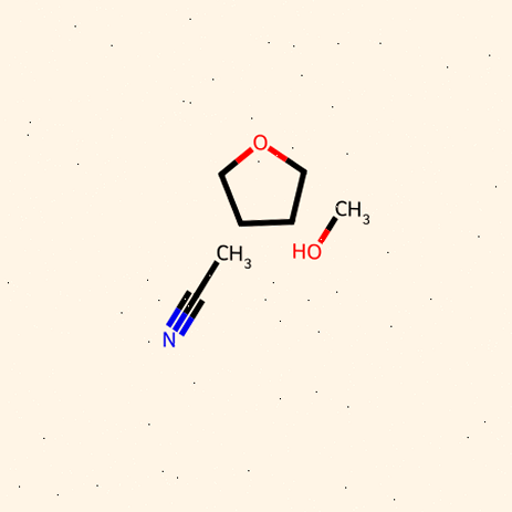 C1CCOC1.CC#N.CO